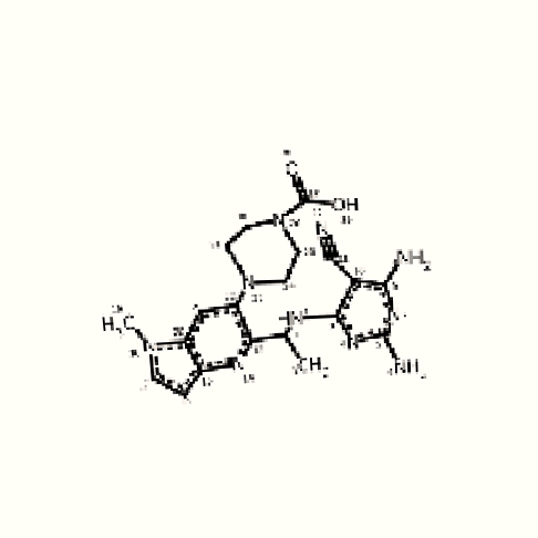 CC(Nc1nc(N)nc(N)c1C#N)c1nc2ccn(C)c2cc1N1CCN(C(=O)O)CC1